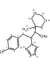 CC(=O)OC(C(Cc1ccc(Cl)cc1)n1cncn1)C1(C)COCOC1